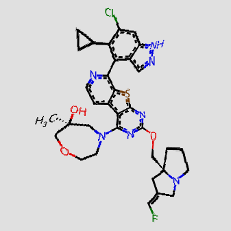 C[C@@]1(O)COCCN(c2nc(OC[C@@]34CCCN3C/C(=C\F)C4)nc3sc4c(-c5c(C6CC6)c(Cl)cc6[nH]ncc56)nccc4c23)C1